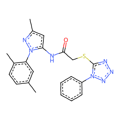 Cc1ccc(C)c(-n2nc(C)cc2NC(=O)CSc2nnnn2-c2ccccc2)c1